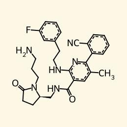 Cc1cc(C(=O)NC[C@H]2CCC(=O)N2CCCN)c(NCCc2cccc(F)c2)nc1-c1ccccc1C#N